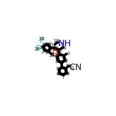 Cc1cc(-c2ccccc2CC#N)ccc1C1CNCC[C@@]12OCc1cc(F)c(F)cc12